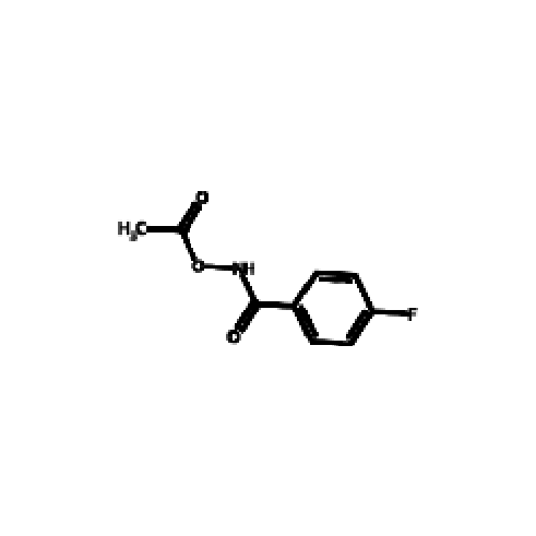 CC(=O)ONC(=O)c1ccc(F)cc1